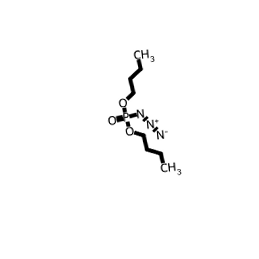 CCCCOP(=O)(N=[N+]=[N-])OCCCC